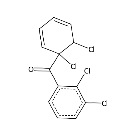 O=C(c1cccc(Cl)c1Cl)C1(Cl)C=CC=CC1Cl